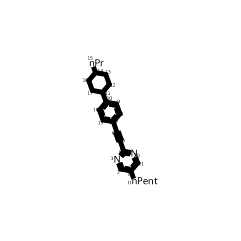 CCCCCc1cnc(C#Cc2ccc(C3CCC(CCC)CC3)cc2)nc1